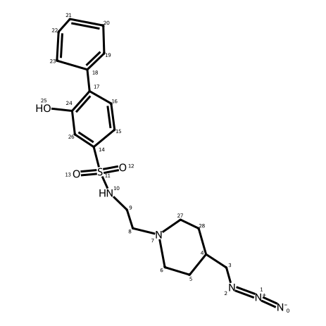 [N-]=[N+]=NCC1CCN(CCNS(=O)(=O)c2ccc(-c3ccccc3)c(O)c2)CC1